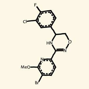 COc1nc(C2=NOCC(c3ccc(F)c(Cl)c3)N2)ccc1Br